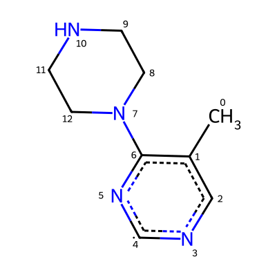 Cc1cn[c]nc1N1CCNCC1